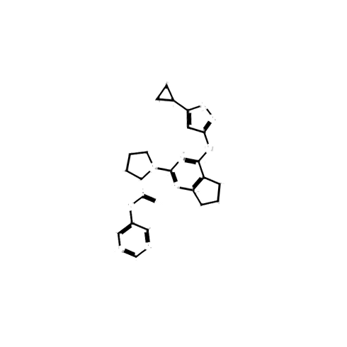 O=C(Nc1cncnc1)[C@@H]1CCCN1c1nc2c(c(Nc3cc(C4CC4)[nH]n3)n1)CCC2